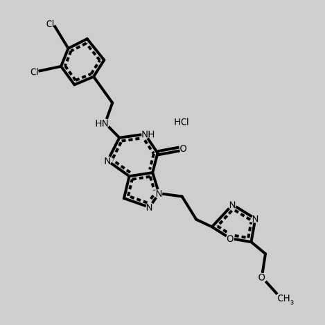 COCc1nnc(CCn2ncc3nc(NCc4ccc(Cl)c(Cl)c4)[nH]c(=O)c32)o1.Cl